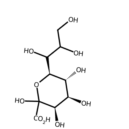 O=C(O)C1(O)O[C@@H](C(O)C(O)CO)[C@H](O)[C@@H](O)[C@H]1O